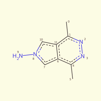 Cc1nnc(C)c2cn(N)cc12